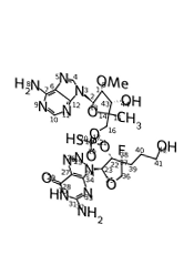 CO[C@H]1[C@H](n2cnc3c(N)ncnc32)OC(C)(COP(=O)(S)O[C@H]2[C@H](n3nnc4c(=O)[nH]c(N)nc43)OC[C@]2(F)CCCO)[C@H]1O